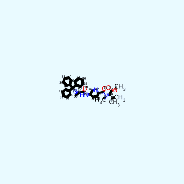 COC(=O)[C@H](C(C)C)N(C)C(=O)c1ccc(NC(=O)C2C[N@]2C(c2ccccc2)(c2ccccc2)c2ccccc2)cn1